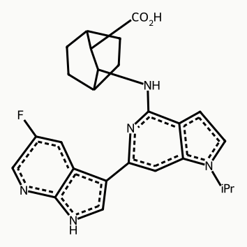 CC(C)n1ccc2c(NC3C4CCC(CC4)C3C(=O)O)nc(-c3c[nH]c4ncc(F)cc34)cc21